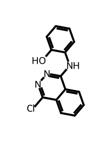 Oc1ccccc1Nc1nnc(Cl)c2ccccc12